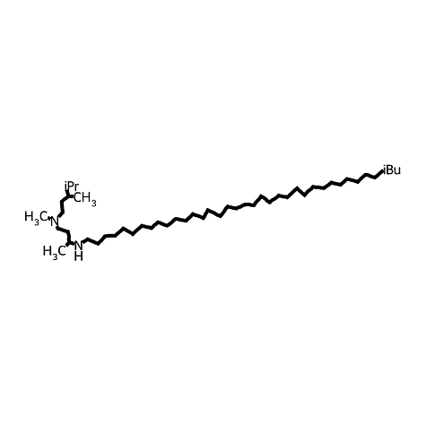 CCC(C)CCCCCCCCCCCCCCCCCCCCCCCCCCCCCCCCCCNC(C)CCN(C)CCC(C)C(C)C